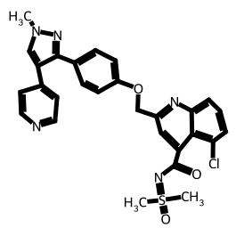 Cn1cc(-c2ccncc2)c(-c2ccc(OCc3cc(C(=O)N=S(C)(C)=O)c4c(Cl)cccc4n3)cc2)n1